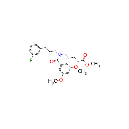 COC(=O)CCCCN(CCCc1cccc(F)c1)C(=O)c1cc(OC)cc(OC)c1